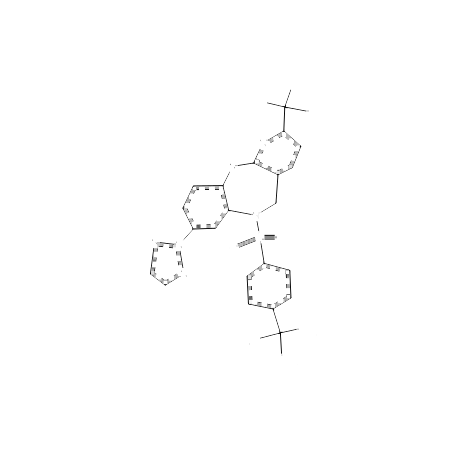 CC(C)(C)c1ccc(S(=O)(=O)N2Cc3ccc(C(F)(F)F)nc3Nc3ccc(-n4nccn4)cc32)cc1